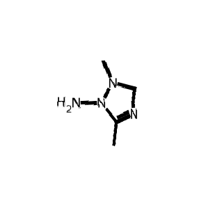 CC1=NCN(C)N1N